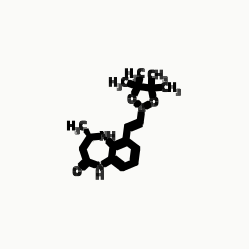 C[C@@H]1CC(=O)Nc2cccc(/C=C/B3OC(C)(C)C(C)(C)O3)c2N1